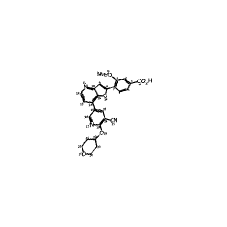 COc1cc(C(=O)O)ccc1-c1cc2nccc(-c3cnc(OC4CCOCC4)c(C#N)c3)c2o1